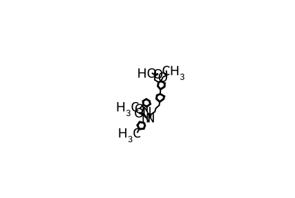 CCOc1ccc(-c2ccc(CCCc3nn(-c4ccc(C)cc4)c(=O)n3-c3ccccc3OC)cc2)cc1CC(=O)O